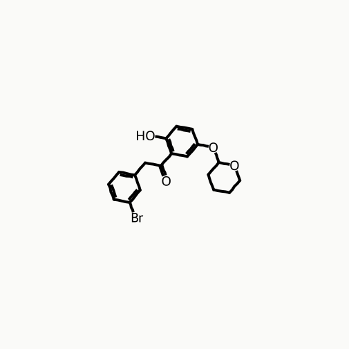 O=C(Cc1cccc(Br)c1)c1cc(OC2CCCCO2)ccc1O